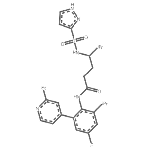 CCc1cc(-c2cc(F)cc(C(C)C)c2NC(=O)CCC(NS(=O)(=O)c2cc[nH]n2)C(C)C)ccn1